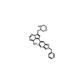 Nc1ncnn2c(CC3COCCN3)cc(-c3ccc4cn(Cc5ccccc5)nc4c3)c12